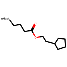 [CH2]CCCCCCCCCC(=O)OCCC1CCCC1